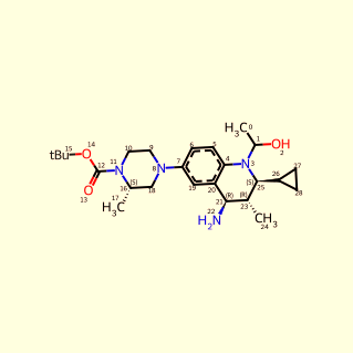 CC(O)N1c2ccc(N3CCN(C(=O)OC(C)(C)C)[C@@H](C)C3)cc2[C@H](N)[C@@H](C)[C@@H]1C1CC1